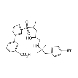 CC(C)c1ccc(CC(C)(C)NC[C@@H](O)CN(C)S(=O)(=O)c2cccc(-c3cccc(C(=O)O)c3)c2)cc1